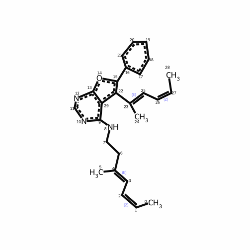 C/C=C\C=C(/C)CCNc1ncnc2oc(-c3ccccc3)c(/C(C)=C/C=C\C)c12